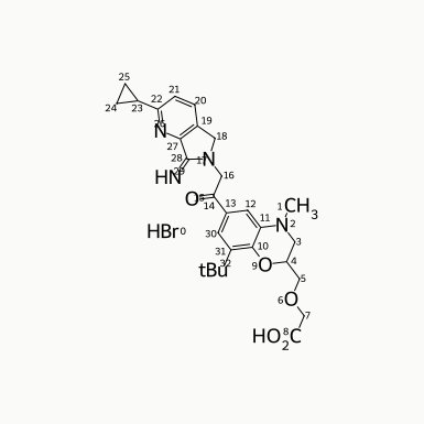 Br.CN1CC(COCC(=O)O)Oc2c1cc(C(=O)CN1Cc3ccc(C4CC4)nc3C1=N)cc2C(C)(C)C